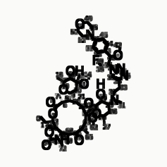 CC[C@H]1OC(=O)[C@H](C)C([C@H]2C[C@@](C)(OC)[C@@H](O)[C@H](C)O2)[C@H](C)[C@@H](O[C@@H]2O[C@H](C)C[C@H](N(C)CCc3cn([C@H](CF)[C@H](OC)c4ccc(N5CCOCC5)cc4)nn3)[C@H]2O)[C@](C)(OC)C[C@@H](C)C(=O)[C@H](C)[C@H]2N(C)C(=O)O[C@]12C